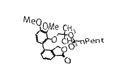 CCCCCC(=O)OC(C)(C)COc1c(-c2cccc3c2COC3=O)ccc(OC)c1OC